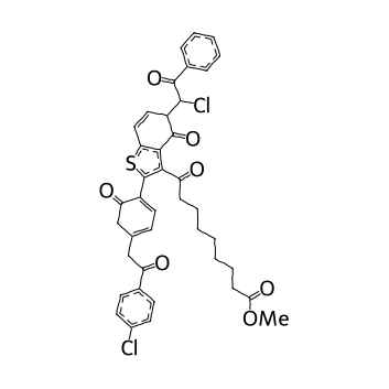 COC(=O)CCCCCCCC(=O)c1c(C2=CC=C(CC(=O)c3ccc(Cl)cc3)CC2=O)sc2c1C(=O)C(C(Cl)C(=O)c1ccccc1)C=C2